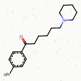 CCCc1ccc(C(=O)CCCCCN2CC[CH]CC2)cc1